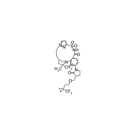 CC1(C)CC2CCCn3ccc(n3)S(=O)(=O)NC(=O)c3ccc(N4CCC(COCCC5(C(F)(F)F)CC5)C4=O)nc3N1C2